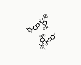 C[C@H](Oc1ccc(S(C)(=O)=O)cc1C(=O)N1Cc2ccc(I)cc2C1)C(F)(F)F.Cc1cnn(-c2ccc3c(c2)CN(C(=O)c2cc(S(C)(=O)=O)ccc2O[C@@H](C)C(F)(F)F)C3)c1